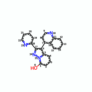 Oc1cccc2c(-c3ccnc4ccccc34)c(-c3ccccn3)nn12